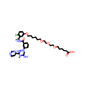 C[C@H](NC(=O)c1cccc(NCC(=N)N(C)C(=N)c2ccncn2)c1)c1cc(OCCCCCCOCCOCCOCCCCCC(=O)O)ccc1F